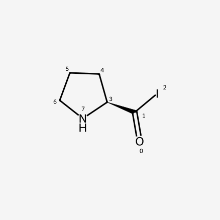 O=C(I)[C@@H]1CCCN1